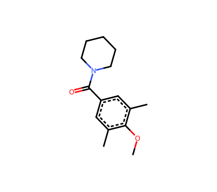 COc1c(C)cc(C(=O)N2CCCCC2)cc1C